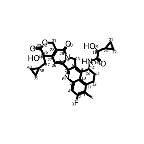 Cc1c(F)cc2nc3c(c4c2c1CC[C@@H]4NC(=O)[C@H](O)C1CC1)Cn1c-3cc2c(c1=O)COC(=O)[C@]2(O)CC1CC1